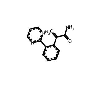 C=C(C(N)=O)c1ccccc1-c1ncccn1